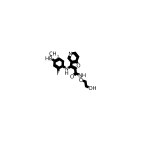 CBC1=CCC(Nc2c(C(=O)NOCCO)oc3ccncc23)C(F)=C1